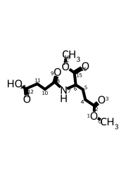 COC(=O)CCC(NC(=O)CCC(=O)O)C(=O)OC